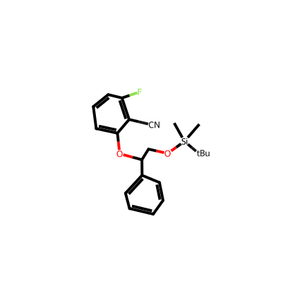 CC(C)(C)[Si](C)(C)OCC(Oc1cccc(F)c1C#N)c1ccccc1